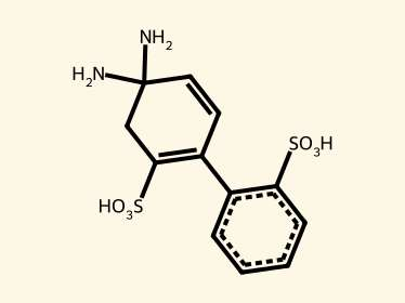 NC1(N)C=CC(c2ccccc2S(=O)(=O)O)=C(S(=O)(=O)O)C1